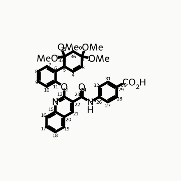 COC1(OC)C=CC(c2ccccc2Oc2nc3ccccc3cc2C(=O)Nc2ccc(C(=O)O)cc2)C(OC)(OC)C1